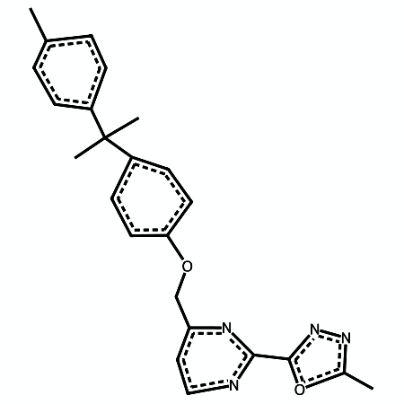 Cc1ccc(C(C)(C)c2ccc(OCc3ccnc(-c4nnc(C)o4)n3)cc2)cc1